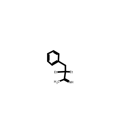 CCC(CC)(Cc1ccccc1)C(C)=N